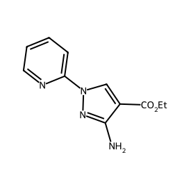 CCOC(=O)c1cn(-c2ccccn2)nc1N